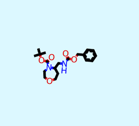 CC(C)(C)OC(=O)N1CCOCCC1CNC(=O)OCc1ccccc1